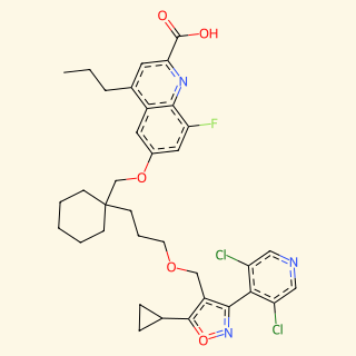 CCCc1cc(C(=O)O)nc2c(F)cc(OCC3(CCCOCc4c(-c5c(Cl)cncc5Cl)noc4C4CC4)CCCCC3)cc12